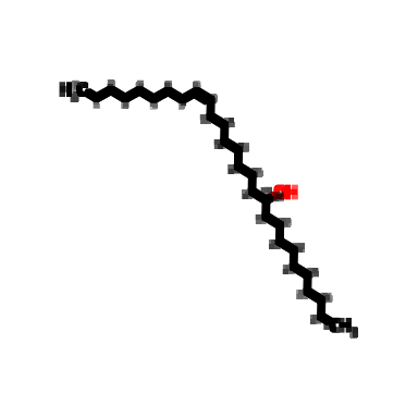 CCCCCCCC/C=C\CCCCCCCC(O)CCCCCCCCCC